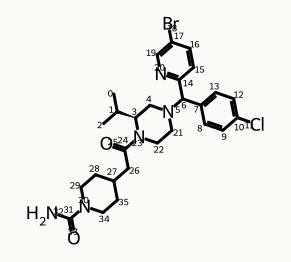 CC(C)[C@H]1CN(C(c2ccc(Cl)cc2)c2ccc(Br)cn2)CCN1C(=O)CC1CCN(C(N)=O)CC1